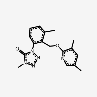 Cc1cnc(OCc2c(C)cccc2-n2nnn(C)c2=O)c(C)c1